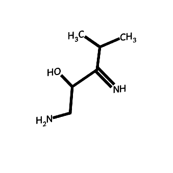 CC(C)C(=N)C(O)CN